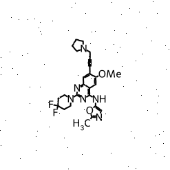 COc1cc2c(Nc3cnc(C)o3)nc(N3CCC(F)(F)CC3)nc2cc1C#CCN1CCCC1